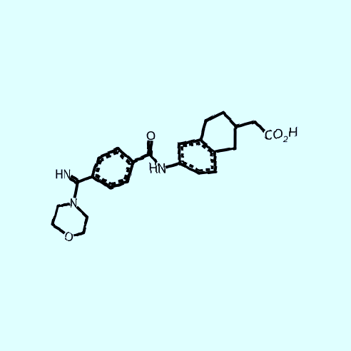 N=C(c1ccc(C(=O)Nc2ccc3c(c2)CCC(CC(=O)O)C3)cc1)N1CCOCC1